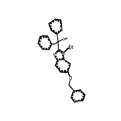 CCn1c(C(O)(c2ccccc2)c2ccccc2)nc2ccc(OCc3ccccc3)cc21